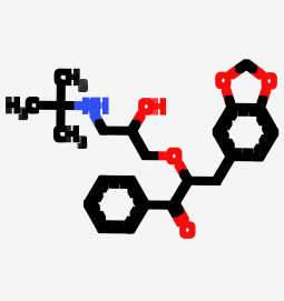 CC(C)(C)NCC(O)COC(Cc1ccc2c(c1)OCO2)C(=O)c1ccccc1